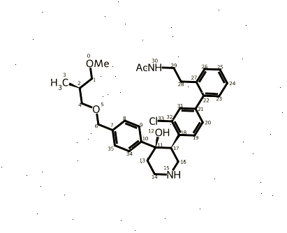 COC[C@H](C)COCc1ccc([C@@]2(O)CCNC[C@@H]2c2ccc(-c3ccccc3CCNC(C)=O)cc2Cl)cc1